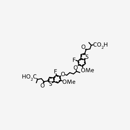 COc1cc2sc(C(=O)CC(C)C(=O)O)cc2c(F)c1OCCCC(C)Oc1c(OC)cc2sc(C(=O)CC(C)C(=O)O)cc2c1F